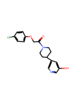 O=C(COc1ccc(Cl)cc1)N1CCC(c2cncc(O)c2)CC1